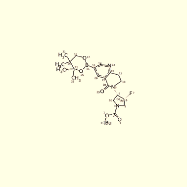 CC(C)(C)OC(=O)N1C[C@@H](F)[C@@H](N2CCc3ncc(B4OCC(C)(C)C(C)(C)O4)cc3C2=O)C1